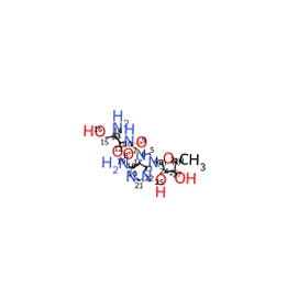 C[C@H]1O[C@@H](N2CN(S(=O)(=O)NC(=O)[C@@H](N)CO)c3c(N)ncnc32)C(O)C1O